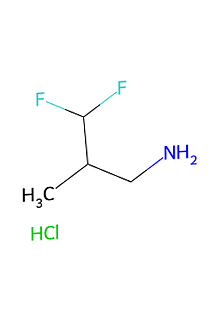 CC(CN)C(F)F.Cl